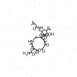 CC[C@H]1OC(=O)CC(=O)[C@H](C)[C@@H](O[C@@H]2OC(CNC(=O)CN(C)C)CC(N(C)C)C2O)[C@](C)(OC)C[C@@H](C)CN[C@H](C)[C@@H](C)[C@]1(C)OC(N)=O